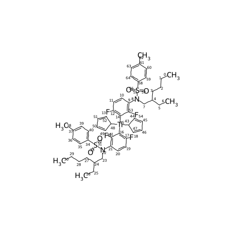 CCCCC(CC)CN(c1ccc(F)[c]([Ti]([c]2c(F)ccc(N(CC(CC)CCCC)S(=O)(=O)c3ccc(C)cc3)c2F)([CH]2C=CC=C2)[CH]2C=CC=C2)c1F)S(=O)(=O)c1ccc(C)cc1